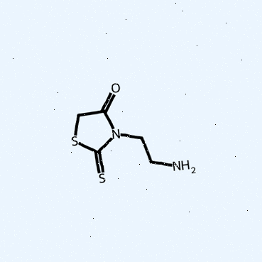 NCCN1C(=O)CSC1=S